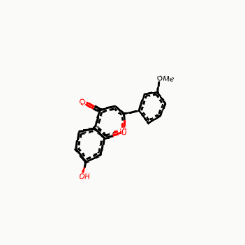 COc1cccc(-c2cc(=O)c3ccc(O)cc3o2)c1